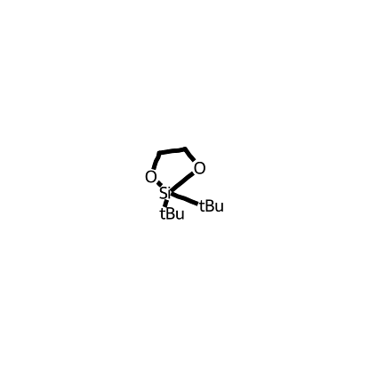 CC(C)(C)[Si]1(C(C)(C)C)OCCO1